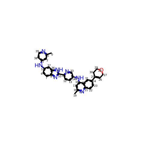 Cc1cc(Nc2ccc3nc(-c4ccc(Nc5cc(C)nc6ccc(C7=CCOCC7)cc56)cn4)[nH]c3c2)ccn1